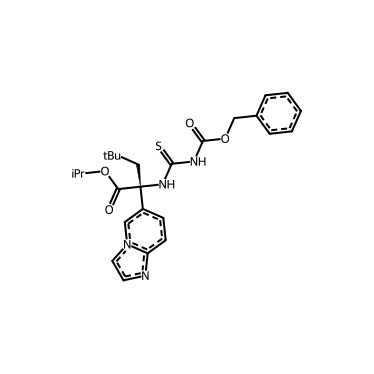 CC(C)OC(=O)[C@](CC(C)(C)C)(NC(=S)NC(=O)OCc1ccccc1)c1ccc2nccn2c1